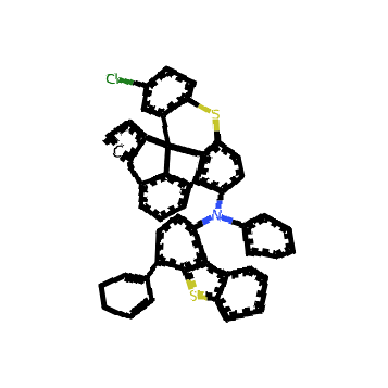 Clc1ccc2c(c1)C1(c3cc(N(c4ccccc4)c4ccc(C5=CCCC=C5)c5sc6ccccc6c45)ccc3S2)c2ccccc2-c2ccccc21